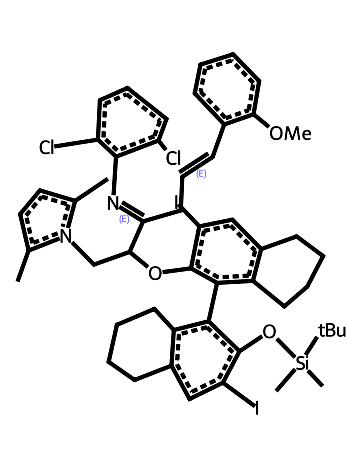 COc1ccccc1/C=C/C/C(=N\c1c(Cl)cccc1Cl)C(Cn1c(C)ccc1C)Oc1c(I)cc2c(c1-c1c3c(cc(I)c1O[Si](C)(C)C(C)(C)C)CCCC3)CCCC2